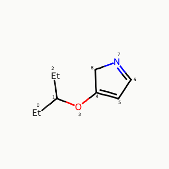 CCC(CC)OC1=CC=NC1